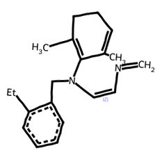 C=N/C=C\N(Cc1ccccc1CC)C1=C(C)CCC=C1C